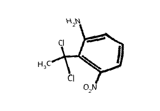 CC(Cl)(Cl)c1c(N)cccc1[N+](=O)[O-]